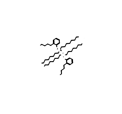 CCCCCCC[CH2][Sn]([CH2]CCCCCCC)([O]c1ccccc1CCCCC)[O][Sn]([CH2]CCCCCCC)([CH2]CCCCCCC)[O]c1ccccc1CCCCC